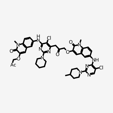 CC(=O)COc1cc2cc(Nc3nc(N4CCCCC4)nc(CC(=O)COc4cc5cc(Nc6nc(N7CCC(C)CC7)ncc6Cl)ccc5n(C)c4=O)c3Cl)ccc2n(C)c1=O